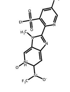 CCS(=O)(=O)c1cc(C(F)(F)F)cnc1-c1nc2c(n1C)=C[NH+]([O-])C([S+]([O-])C(F)(F)F)C=2